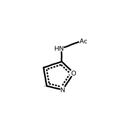 CC(=O)Nc1c[c]no1